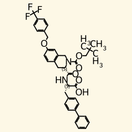 CC(C)(C)COC(=O)N1Cc2cc(OCc3ccc(C(F)(F)F)cc3)ccc2C[C@H]1C(=O)N[C@@H](Cc1ccc(-c2ccccc2)cc1)C(=O)O